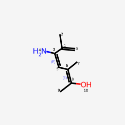 C=C(C)/C(N)=C\C(C)=C(/C)O